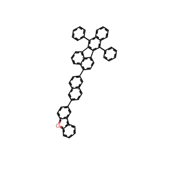 c1ccc(-c2c3c(c(-c4ccccc4)c4ccccc24)-c2ccc(-c4ccc5cc(-c6ccc7oc8ccccc8c7c6)ccc5c4)c4cccc-3c24)cc1